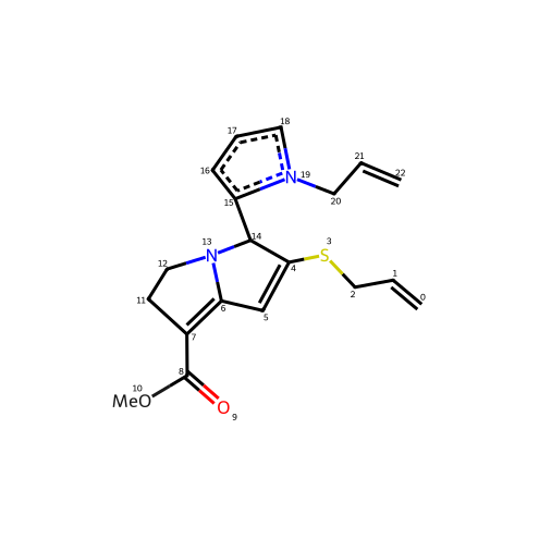 C=CCSC1=CC2=C(C(=O)OC)CCN2C1c1cccn1CC=C